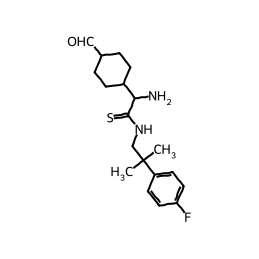 CC(C)(CNC(=S)C(N)C1CCC(C=O)CC1)c1ccc(F)cc1